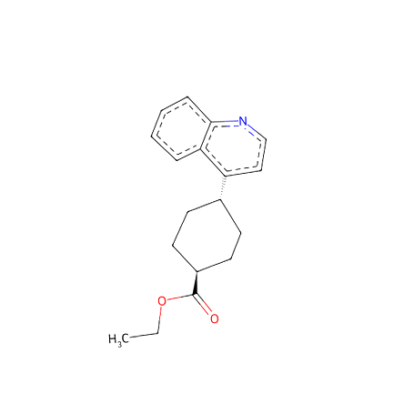 CCOC(=O)[C@H]1CC[C@H](c2ccnc3ccccc32)CC1